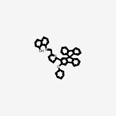 Oc1cccc2cccc(/N=C/c3cccc(-c4cc5c(cc4Oc4ccccc4)-c4ccccc4C54c5ccccc5-c5ccccc54)n3)c12